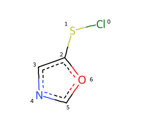 ClSc1cnco1